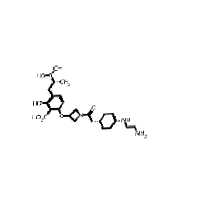 C[C@H](Cc1ccc(OC2CN(C(=O)C[C@H]3CC[C@@H](NCCN)CC3)C2)c(C(=O)O)c1O)B(O)O